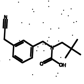 CC(C)(C)CN(Cc1cccc(CC#N)c1)C(=O)O